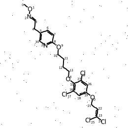 CO/N=C/Cc1ccc(OCCCCOc2c(Cl)cc(OCC=C(Cl)Cl)cc2Cl)nc1